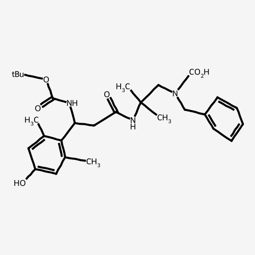 Cc1cc(O)cc(C)c1C(CC(=O)NC(C)(C)CN(Cc1ccccc1)C(=O)O)NC(=O)OC(C)(C)C